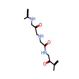 C=C(C)NCC(=O)CNCC(=O)NCC(=O)C(=C)C